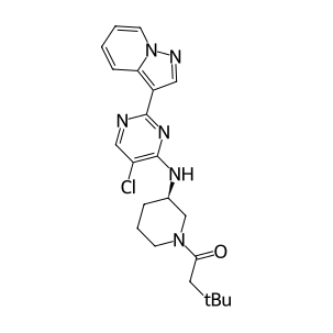 CC(C)(C)CC(=O)N1CCC[C@@H](Nc2nc(-c3cnn4ccccc34)ncc2Cl)C1